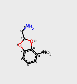 NCC1Oc2cccc([N+](=O)[O-])c2O1